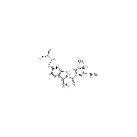 CC(=O)Nc1cc(C(=O)N2Oc3nc(OCC(F)F)ccc3C2C)cc(C)n1